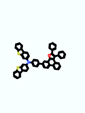 c1ccc(-c2oc3c4cc(-c5ccc(N(c6ccc7c(c6)sc6ccccc67)c6ccc7c(c6)sc6ccccc67)cc5)ccc4c4ccccc4c3c2-c2ccccc2)cc1